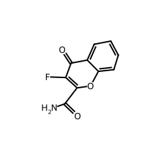 NC(=O)c1oc2ccccc2c(=O)c1F